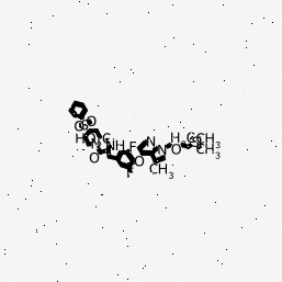 Cc1cn(COCC[Si](C)(C)C)c2nccc(Oc3c(F)cc(CC(NC(=O)O)C(=O)N4CCC(S(=O)(=O)c5ccccc5)CC4)cc3F)c12